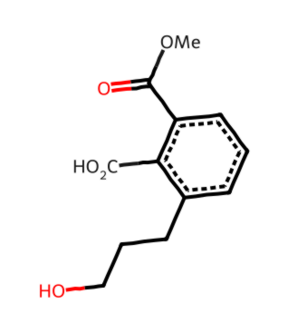 COC(=O)c1cccc(CCCO)c1C(=O)O